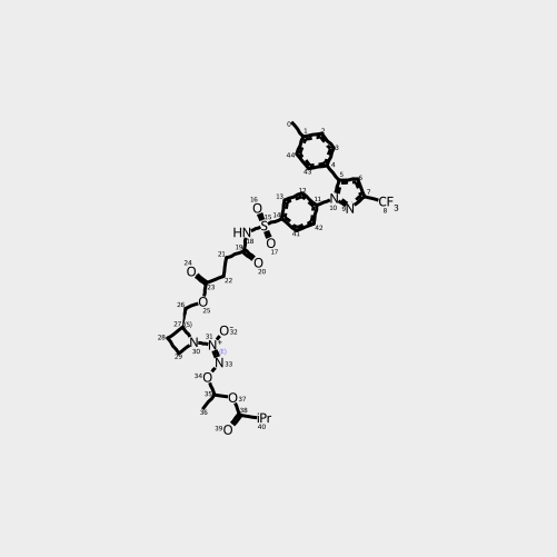 Cc1ccc(-c2cc(C(F)(F)F)nn2-c2ccc(S(=O)(=O)NC(=O)CCC(=O)OC[C@@H]3CCN3/[N+]([O-])=N\OC(C)OC(=O)C(C)C)cc2)cc1